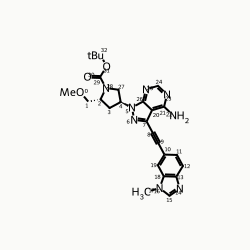 COC[C@H]1C[C@H](n2nc(C#Cc3ccc4ncn(C)c4c3)c3c(N)ncnc32)CN1C(=O)OC(C)(C)C